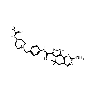 CC1(C)Cc2cnc(N)nc2-c2[nH]nc(C(=O)Nc3ccc(CN4CCC(NC(=O)O)CC4)cc3)c21